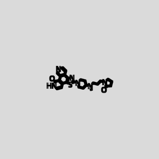 CN(CCCN1CCCC1=O)C1CCN(c2nc3c4ccncc4c4c(=O)[nH]ccc4c3s2)CC1